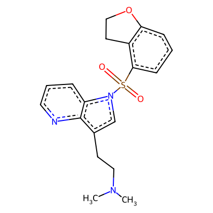 CN(C)CCc1cn(S(=O)(=O)c2cccc3c2CCO3)c2cccnc12